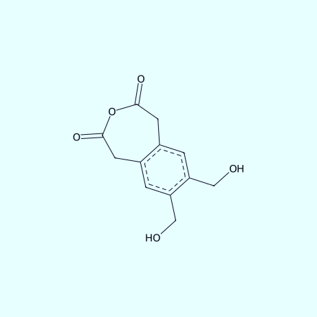 O=C1Cc2cc(CO)c(CO)cc2CC(=O)O1